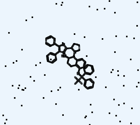 CC(C)(C)[Si](Oc1cccc2c1CCC(O)C2N1CCCC1c1nc(-c2ccccc2)c(-c2ccccc2)o1)(c1ccccc1)c1ccccc1